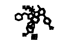 Cc1ccc(-c2ccc(C(C)C)cc2)c2c1[CH]([Zr]([CH3])([CH3])(=[SiH2])[CH]1C(CC3CCCCC3)=Cc3c(-c4ccc(C(C)C)cc4)ccc(C)c31)C(CC1CCCCC1)=C2.Cl.Cl